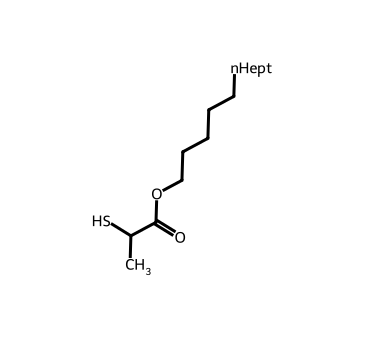 CCCCCCCCCCCCOC(=O)C(C)S